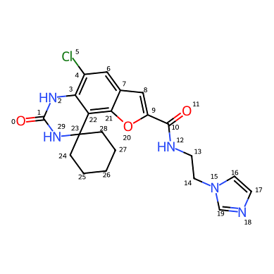 O=C1Nc2c(Cl)cc3cc(C(=O)NCCn4ccnc4)oc3c2C2(CCCCC2)N1